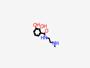 CNCCNC(=O)c1cccc(O)c1O